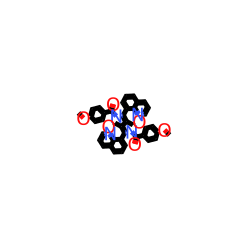 COc1ccc(C(=O)N2C(=O)C3=C(c4cccc5cccnc45)N(C(=O)c4ccc(OC)cc4)C(=O)C3=C2c2cccc3cccnc23)cc1